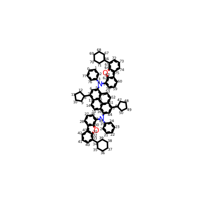 c1ccc(N(c2cc(C3CCCC3)c3ccc4c(N(c5ccccc5)c5cccc6c5oc5c(C7CCCCC7)cccc56)cc(C5CCCC5)c5ccc2c3c54)c2cccc3c2oc2c(C4CCCCC4)cccc23)cc1